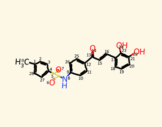 Cc1ccc(S(=O)(=O)Nc2ccc(C(=O)/C=C/c3cccc(O)c3O)cc2)cc1